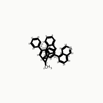 CC1C2c3ccc4ccccc4c3C(c3ccccc3)=CC12c1cccc(-c2cccc3cnccc23)c1